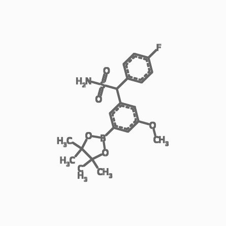 COc1cc(B2OC(C)(C)C(C)(C)O2)cc(C(c2ccc(F)cc2)S(N)(=O)=O)c1